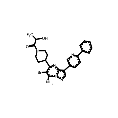 Nc1c(Br)c(C2CCN(C(=O)C(O)C(F)(F)F)CC2)nc2c(-c3ccc(-c4ccccc4)nc3)cnn12